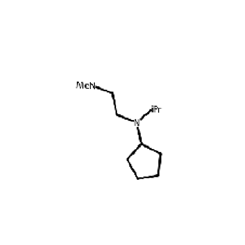 CNCCN(C(C)C)C1CCCC1